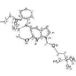 COC(=O)c1ccccc1N1c2cc3ccn(COCC[Si](C)(C)C)c3nc2OCC1C